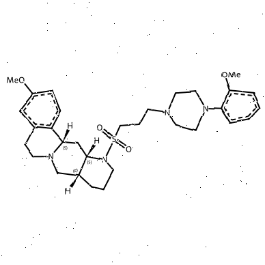 COc1ccc2c(c1)CCN1C[C@H]3CCCN(S(=O)(=O)CCCN4CCN(c5ccccc5OC)CC4)[C@H]3C[C@@H]21